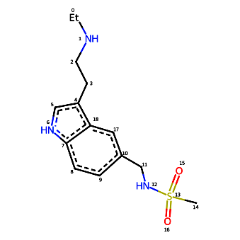 CCNCCc1c[nH]c2ccc(CNS(C)(=O)=O)cc12